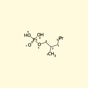 CC(C)CC(C)COP(=O)(O)O